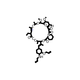 C=CCNC1CCC(C=C(C)C2OC(=O)C3CCCCN3C(=O)C(=O)C3(O)OC(C(OC)CC(C)C/C(C)=C/C(CC)C(=O)CCC2C)C(OC)CC3C)CC1OCC=C